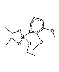 CCO[Si](OCC)(OCC)c1cccc(OC)c1OC